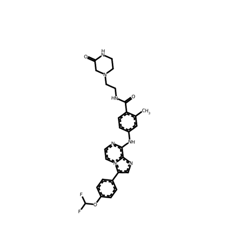 Cc1cc(Nc2nccn3c(-c4ccc(OC(F)F)cc4)cnc23)ccc1C(=O)NCCN1CCNC(=O)C1